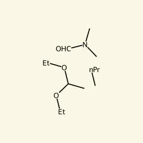 CCCC.CCOC(C)OCC.CN(C)C=O